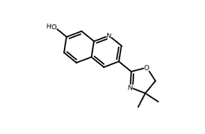 CC1(C)COC(c2cnc3cc(O)ccc3c2)=N1